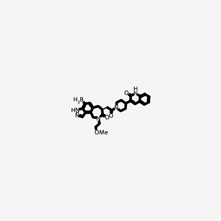 Bc1cc2c(c3cn[nH]c13)CN(CCOC)C(=O)[C@H](CC(=O)N1CCC(c3cc4ccccc4[nH]c3=O)CC1)C2